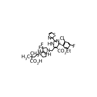 CCOC(=O)C1=C(CN2CC(F)(F)[C@H]3[C@@H]2CCN3CCC(C)(C)C(=O)O)NC(c2nccs2)=N[C@H]1c1ccc(F)cc1Cl